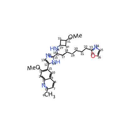 COc1cc2nc(C)ccc2cc1-c1cnc([C@H](CCCCCCc2ncco2)NC2CC(OC)C2)[nH]1